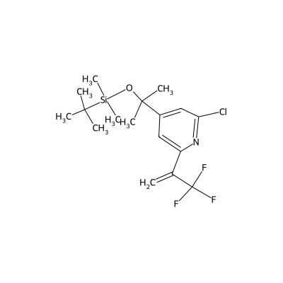 C=C(c1cc(C(C)(C)O[Si](C)(C)C(C)(C)C)cc(Cl)n1)C(F)(F)F